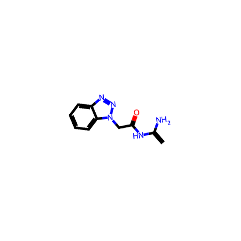 C=C(N)NC(=O)Cn1nnc2ccccc21